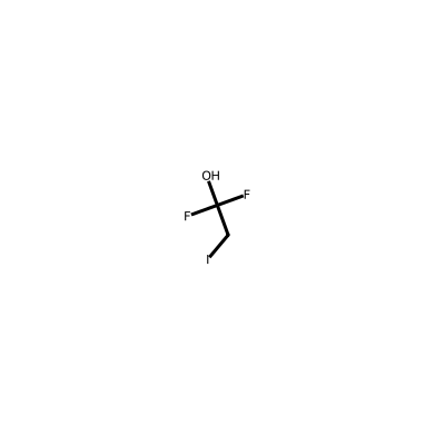 OC(F)(F)CI